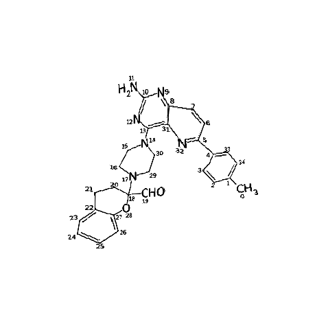 Cc1ccc(-c2ccc3nc(N)nc(N4CCN(C5(C=O)CCc6ccccc6O5)CC4)c3n2)cc1